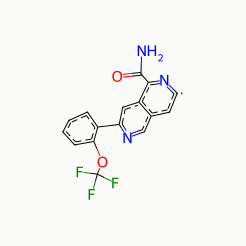 NC(=O)c1n[c]cc2cnc(-c3ccccc3OC(F)(F)F)cc12